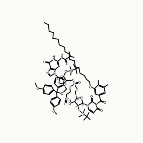 [C-]#[N+]CCOP(=O)(OC[C@H]1O[C@@H](n2ccc(=O)n(C(=O)c3cc(C)c(C)c(OCCCCCCCCCCCCCCCCCC)c3)c2=O)[C@@H](O[Si](C)(C)C(C)(C)C)C1O)OC1[C@@H](COC(c2ccccc2)(c2ccc(OC)cc2)c2ccc(OC)cc2)O[C@@H](n2cnc3c(=O)[nH]c(NC(=O)C(C)C)nc32)[C@H]1O[Si](C)(C)C(C)(C)C